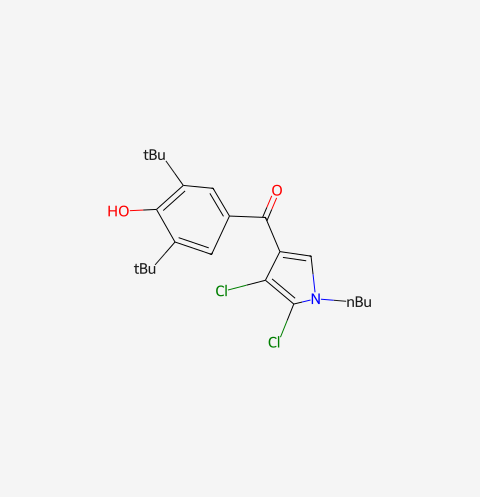 CCCCn1cc(C(=O)c2cc(C(C)(C)C)c(O)c(C(C)(C)C)c2)c(Cl)c1Cl